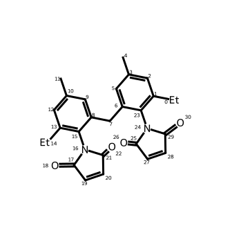 CCc1cc(C)cc(Cc2cc(C)cc(CC)c2N2C(=O)C=CC2=O)c1N1C(=O)C=CC1=O